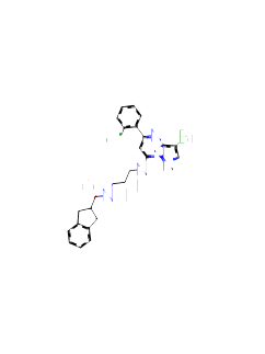 O=C(NCCCNc1cc(-c2ccccc2Cl)nc2c(Br)cnn12)C1Cc2ccccc2C1